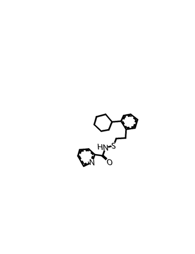 O=C(NSCCc1ccccc1C1CCCCC1)c1ccccn1